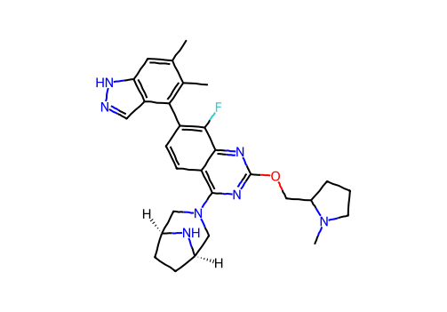 Cc1cc2[nH]ncc2c(-c2ccc3c(N4C[C@H]5CC[C@@H](C4)N5)nc(OCC4CCCN4C)nc3c2F)c1C